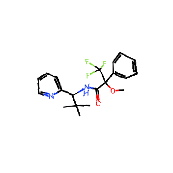 COC(C(=O)N[C@H](c1ccccn1)C(C)(C)C)(c1ccccc1)C(F)(F)F